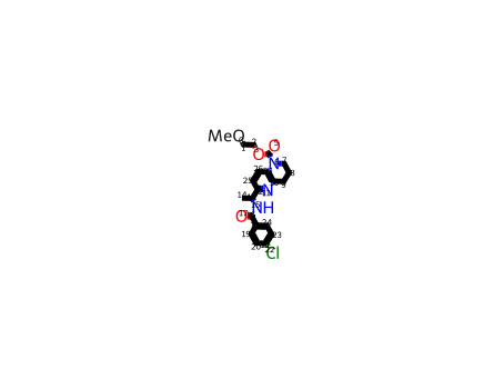 COCCOC(=O)N1CCCc2nc(C(C)NC(=O)c3ccc(Cl)cc3)ccc21